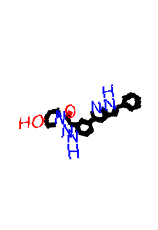 O=C(c1n[nH]c2ccc(-c3cnc4[nH]c(-c5ccccc5)cc4c3)cc12)N1CCC(O)CC1